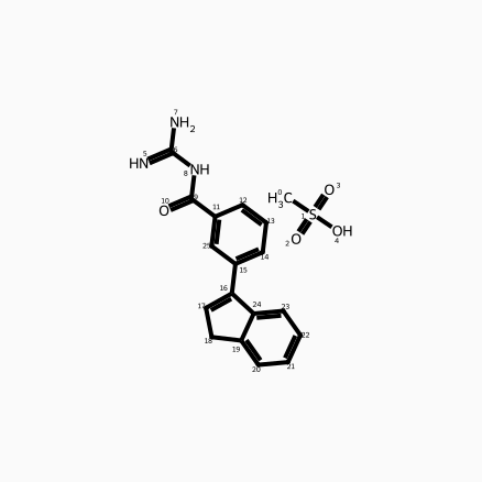 CS(=O)(=O)O.N=C(N)NC(=O)c1cccc(C2=CCc3ccccc32)c1